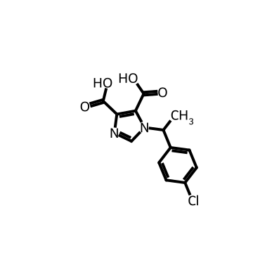 CC(c1ccc(Cl)cc1)n1cnc(C(=O)O)c1C(=O)O